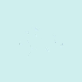 Cc1nn(C)c2ncc3c(=O)n(C)c4ncnn4c3c12